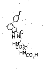 O=C(O)NCCC[C@@H](CNC(=O)c1cc2c(-c3ccc(F)cc3)cccc2[nH]1)NC(=O)O